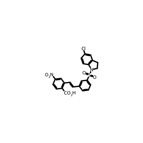 O=C(O)c1ccc([N+](=O)[O-])cc1C=Cc1cccc(S(=O)(=O)N2CCc3cc(Cl)ccc32)c1